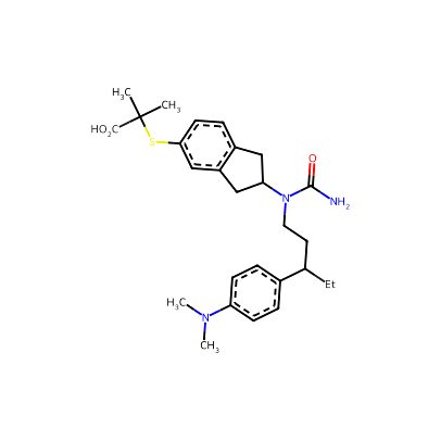 CCC(CCN(C(N)=O)C1Cc2ccc(SC(C)(C)C(=O)O)cc2C1)c1ccc(N(C)C)cc1